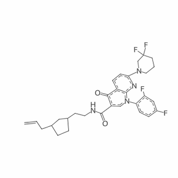 C=CCC1CCC(CCNC(=O)c2cn(-c3ccc(F)cc3F)c3nc(N4CCCC(F)(F)C4)ccc3c2=O)C1